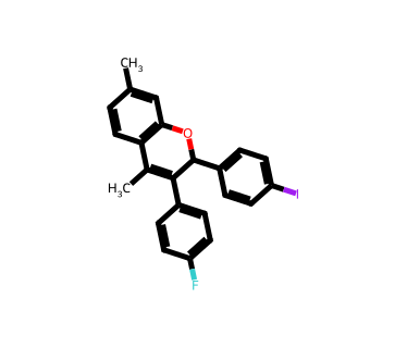 CC1=C(c2ccc(F)cc2)C(c2ccc(I)cc2)Oc2cc(C)ccc21